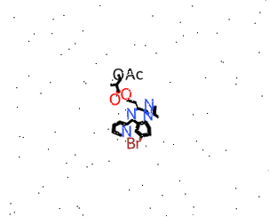 CC(=O)OCC(C)C(=O)OCC[C@@H]1N=C(c2ccccn2)c2cc(Br)ccc2-n2c(C)cnc21